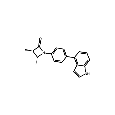 C[C@@H]1[C@@H](C)C(=O)N1c1ccc(-c2cccc3[nH]ccc23)cc1